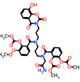 COOc1cccc(C(=O)N(CCCN(CC(N)=O)C(=O)c2cccc(OC(=O)OC)c2OC(=O)OC)CCCn2c(=O)oc3c(O)cccc3c2=O)c1OC(=O)OC